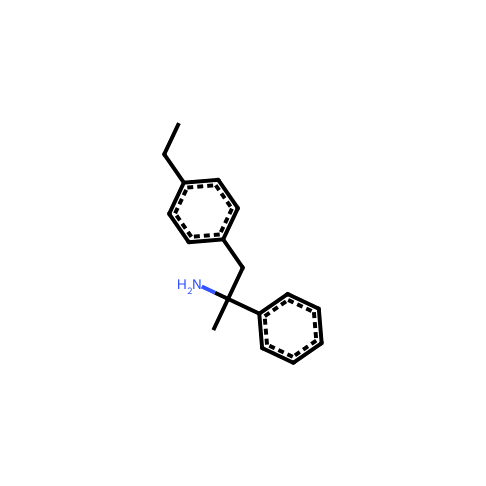 CCc1ccc(CC(C)(N)c2ccccc2)cc1